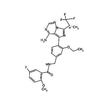 CCOc1cc(CNC(=O)c2cc(F)ccc2OC)ccc1-c1nc([C@@H](C)C(F)(F)F)n2ncnc(N)c12